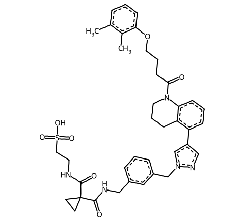 Cc1cccc(OCCCC(=O)N2CCCc3c(-c4cnn(Cc5cccc(CNC(=O)C6(C(=O)NCCS(=O)(=O)O)CC6)c5)c4)cccc32)c1C